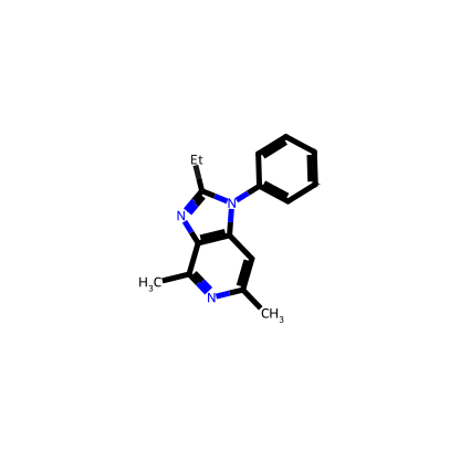 CCc1nc2c(C)nc(C)cc2n1-c1c[c]ccc1